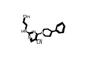 N#Cc1cnc(NCCO)nc1N1CCC(c2ccccc2)CC1